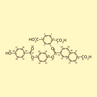 O=C(O)c1ccc(C(=O)O)cc1.O=C(O)c1ccc2cc(C(=O)Oc3ccc(OC(=O)c4ccc(O)cc4)cc3)ccc2c1